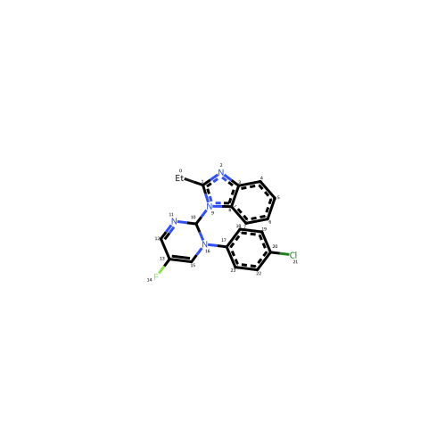 CCc1nc2ccccc2n1C1N=CC(F)=CN1c1ccc(Cl)cc1